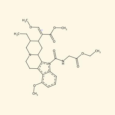 CCOC(=O)CNC(=O)n1c2c(c3c(OC)cccc31)CCN1CC(CC)C(/C(=C\OC)C(=O)OC)CC21